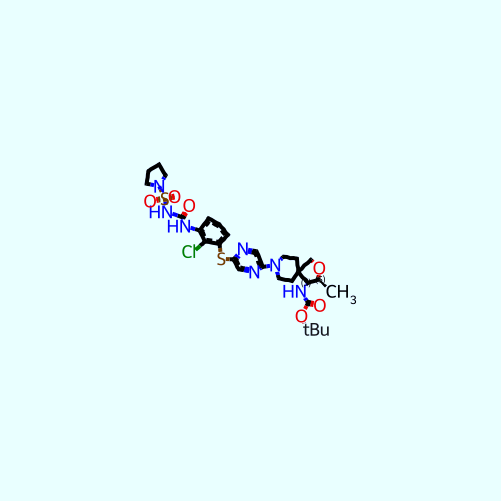 C[C@@H]1OCC2(CCN(c3cnc(Sc4cccc(NC(=O)NS(=O)(=O)N5CCCC5)c4Cl)cn3)CC2)[C@@H]1NC(=O)OC(C)(C)C